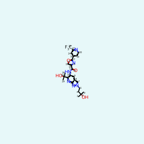 CC(C)(O)CCn1cc2cc(NC(=O)c3coc(-c4ccnc(C(F)(F)F)c4)n3)c(C(C)(C)O)nc2n1